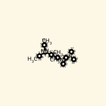 Cc1ccc(-c2cc(-c3cc(C)c(-c4ccc(-n5c6ccccc6c6cc(N(c7ccccc7)c7ccccc7)ccc65)cc4)c(C)c3)nc(-c3ccc(C)cc3)n2)cc1